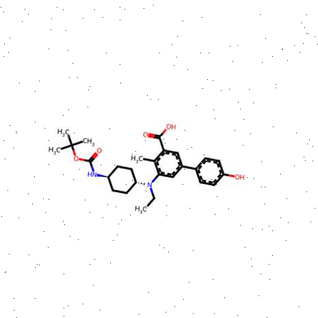 CCN(c1cc(-c2ccc(O)cc2)cc(C(=O)O)c1C)[C@H]1CC[C@H](NC(=O)OC(C)(C)C)CC1